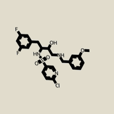 COc1cccc(CNCC(O)C(Cc2cc(F)cc(F)c2)NS(=O)(=O)c2ccc(Cl)nc2)c1